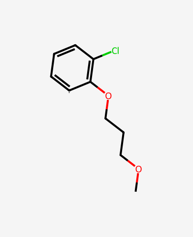 COCCCOc1[c]cccc1Cl